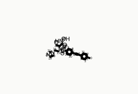 Cc1ccc(C#Cc2ccc(S(=O)(=O)N(CCn3ccnc3)[C@@H]([C]=O)C(=O)NO)cc2)cc1